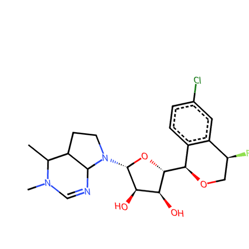 CC1C2CCN([C@@H]3O[C@H]([C@@H]4OC[C@H](F)c5cc(Cl)ccc54)[C@@H](O)[C@H]3O)C2N=CN1C